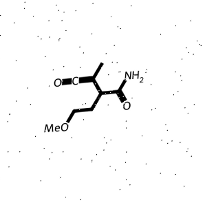 COCCC(C(N)=O)C(C)=C=O